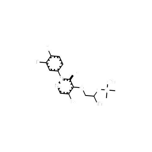 CC(C)C(COc1c(Br)cnn(-c2ccc(F)c(F)c2)c1=O)O[Si](C)(C)C(C)(C)C